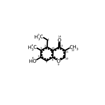 CCc1c(C)c(O)cc2occ(C)c(=O)c12